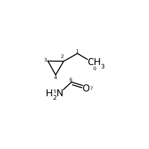 CCC1CC1.NC=O